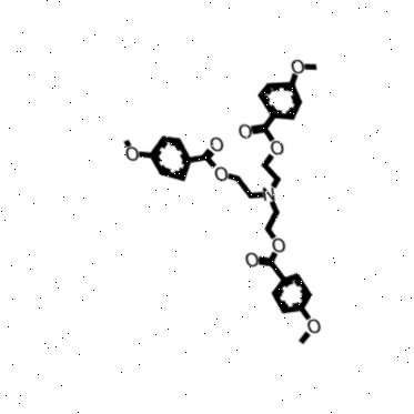 COc1ccc(C(=O)OCCN(CCOC(=O)c2ccc(OC)cc2)CCOC(=O)c2ccc(OC)cc2)cc1